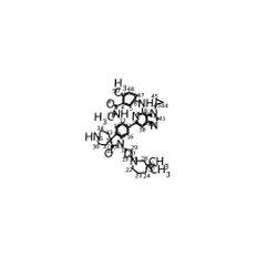 CNC(=O)c1cc(Nc2nc(-c3ccc4c(c3)N([C@H]3C[C@@H](N5CCCC(C)(C)C5)C3)C(=O)C43CCNCC3)cc3ncn(C4CC4)c23)ccc1C